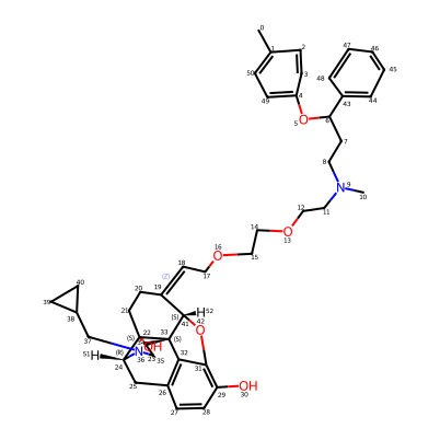 Cc1ccc(OC(CCN(C)CCOCCOC/C=C2/CC[C@@]3(O)[C@H]4Cc5ccc(O)c6c5[C@@]3(CCN4CC3CC3)[C@H]2O6)c2ccccc2)cc1